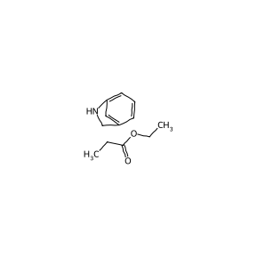 CCOC(=O)CC.c1cc2cc(c1)NC2